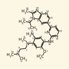 COc1cc(N(C)CCN(C)C)c(N)cc1Nc1nccc(-c2cnc3nc(C)n(C(C)C)c3c2)n1